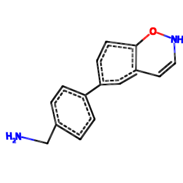 NCc1ccc(-c2ccc3c(c2)C=CNO3)cc1